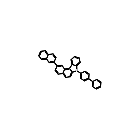 c1ccc(-c2ccc(-n3c4ccccc4c4c5cc(-c6ccc7ccccc7c6)ccc5ccc43)cc2)cc1